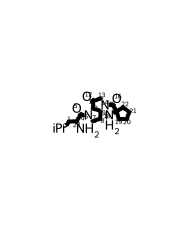 CC(C)CC(N)C(=O)N1CCC2C1C(=O)CN2C(=O)C1(N)CCCC1